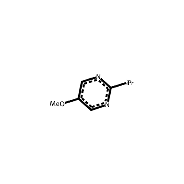 COc1cnc(C(C)C)nc1